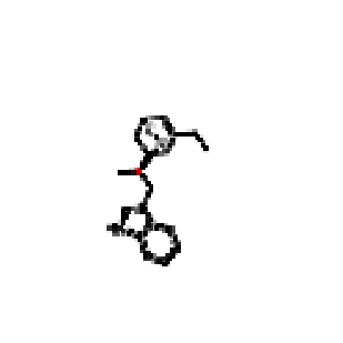 CCC1=CC2CC(CC)C1N(CCc1c[nH]c3ccccc13)C2